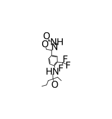 CCCC(CC)(CNc1ccc(C2=NNC(=O)OC2)cc1C(F)(F)F)OC